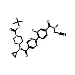 CN(CC#N)C(=O)c1ccc(-c2ncc(C(=O)N(C3CC3)C3CCN(C(=O)OC(C)(C)C)CC3)cn2)c(F)c1